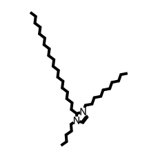 CCCCCCCCCCCCCCCCCCCC1N(CCCCC)C=CN1CCCCCCCCCC